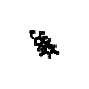 C[C@@]1(c2c[nH]c(=O)[nH]c2=O)O[C@H](CO)[C@@H](O)[C@]1(O)S(C)(=O)=O